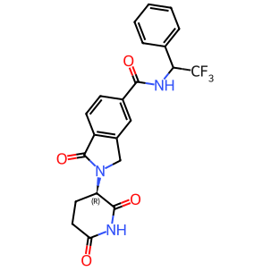 O=C1CC[C@@H](N2Cc3cc(C(=O)NC(c4ccccc4)C(F)(F)F)ccc3C2=O)C(=O)N1